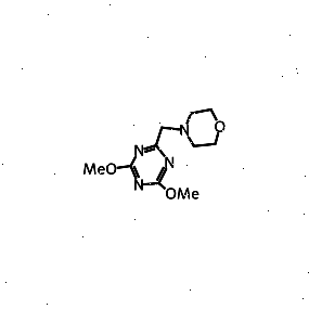 COc1nc(CN2CCOCC2)nc(OC)n1